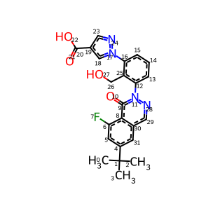 CC(C)(C)c1cc(F)c2c(=O)n(-c3cccc(-n4cc(C(=O)O)cn4)c3CO)ncc2c1